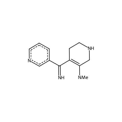 CNC1=C(C(=N)c2cccnc2)CCNC1